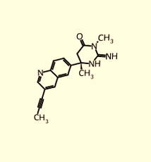 CC#Cc1cnc2ccc([C@]3(C)CC(=O)N(C)C(=N)N3)cc2c1